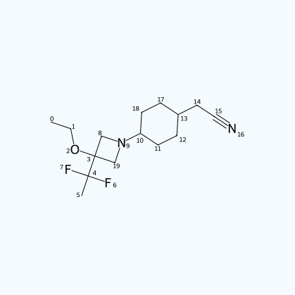 CCOC1(C(C)(F)F)CN(C2CCC(CC#N)CC2)C1